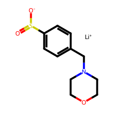 O=S([O-])c1ccc(CN2CCOCC2)cc1.[Li+]